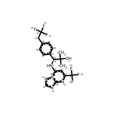 CC(C)(O)[C@@H](Nc1cc(C(F)(F)F)nc2ncnn12)c1ccc(CC(F)(F)F)cc1